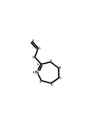 C=CCC1=NCCCCC1